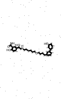 NC(=O)c1cc([C@@H](O)CNCCCCCCOCCCCc2cccc(-c3cccc(O)c3)c2)ccc1O